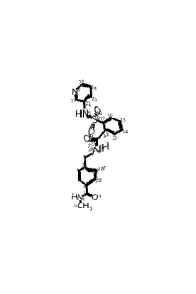 CNC(=O)c1ccc(CNC(=O)c2ccccc2S(=O)(=O)Nc2cccnc2)cc1